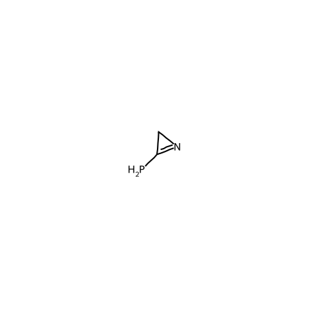 PC1=NC1